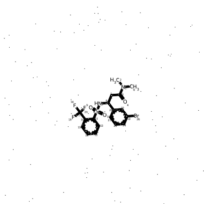 CN(C)C(=O)CC(NS(=O)(=O)c1ccccc1C(F)(F)F)c1cccc(Br)c1